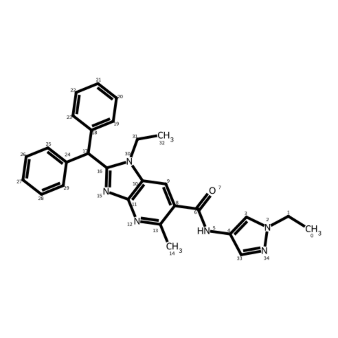 CCn1cc(NC(=O)c2cc3c(nc2C)nc(C(c2ccccc2)c2ccccc2)n3CC)cn1